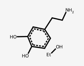 CCO.NCCc1ccc(O)c(O)c1